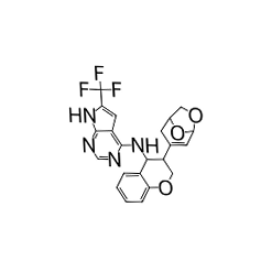 FC(F)(F)c1cc2c(NC3c4ccccc4OCC3C3=CC4OCC(C3)O4)ncnc2[nH]1